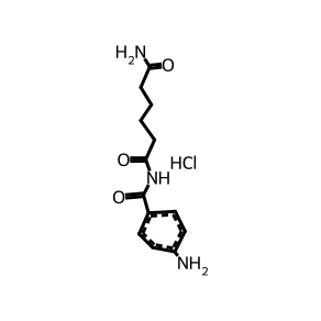 Cl.NC(=O)CCCCC(=O)NC(=O)c1ccc(N)cc1